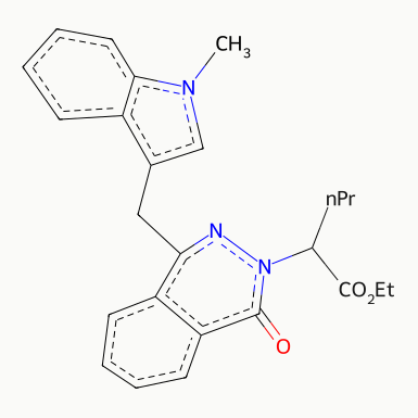 CCCC(C(=O)OCC)n1nc(Cc2cn(C)c3ccccc23)c2ccccc2c1=O